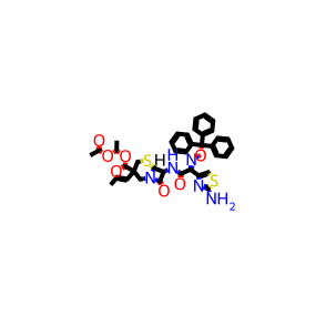 CC=CC1(C(=O)OC(C)OC(C)=O)CS[C@@H]2C(NC(=O)C(=NOC(c3ccccc3)(c3ccccc3)c3ccccc3)c3csc(N)n3)C(=O)N2C1